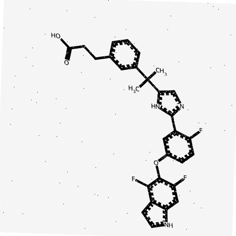 CC(C)(c1cccc(CCC(=O)O)c1)c1cnc(-c2cc(Oc3c(F)cc4[nH]ccc4c3F)ccc2F)[nH]1